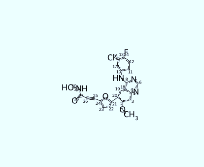 COc1cc2ncnc(Nc3ccc(F)c(Cl)c3)c2cc1-c1ccc(C#CC(=O)NO)o1